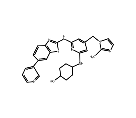 Cc1nccn1Cc1cc(Nc2nc3ccc(-c4cccnc4)cc3s2)nc(NC2CCC(O)CC2)c1